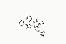 Cc1cc(C(=O)N2CCN(C(=O)O)C[C@H]2[C@@H](O)C2CC2)c(-c2ccccc2)n1-c1ccccc1